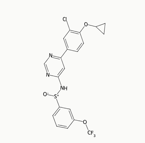 [O-][S+](Nc1cc(-c2ccc(OC3CC3)c(Cl)c2)ncn1)c1cccc(OC(F)(F)F)c1